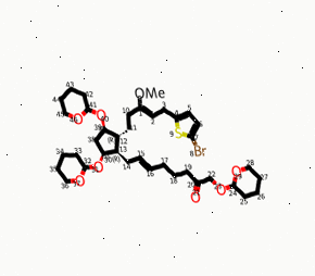 COC(=CCc1ccc(Br)s1)CC[C@@H]1[C@@H](CC=CCCCC(=O)COC2CCCCO2)[C@@H](OC2CCCCO2)C[C@H]1OC1CCCCO1